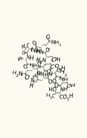 CC(C)[C@H](NC(=O)[C@H](C)NC(=O)[C@H](CCC(N)=O)NC(=O)[C@@H](N)CO)C(=O)N[C@@H](CCC(N)=O)C(=O)N[C@@H](CCC(=O)O)C(=O)N[C@@H](Cc1c[nH]cn1)C(=O)N[C@@H](C)C(=O)N[C@@H](CO)C(=O)N[C@H](C(=O)O)[C@@H](C)O